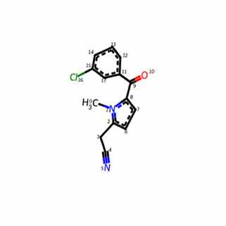 Cn1c(CC#N)ccc1C(=O)c1cccc(Cl)c1